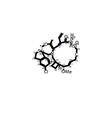 C=C/C1=C\C2=C(C)OC[C@@]3(CN2C[C@@H]2CC[C@H]2[C@@H](OC)/C=C/CCC/[SH](=O)=[N+](/N)C1=O)SCCc1cc(Cl)ccc13